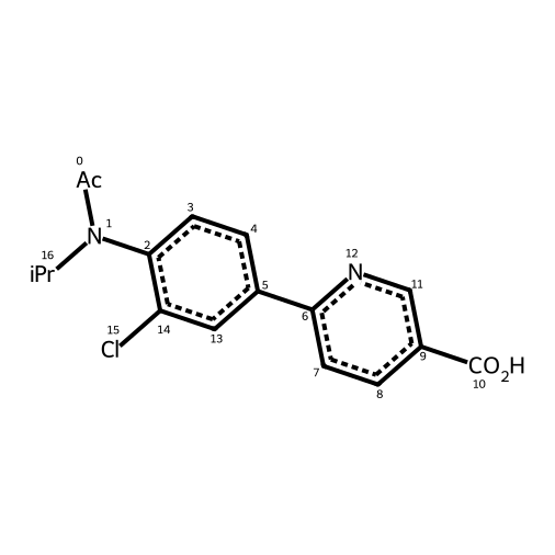 CC(=O)N(c1ccc(-c2ccc(C(=O)O)cn2)cc1Cl)C(C)C